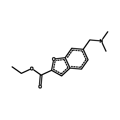 CCOC(=O)c1cc2ccc(CN(C)C)cc2o1